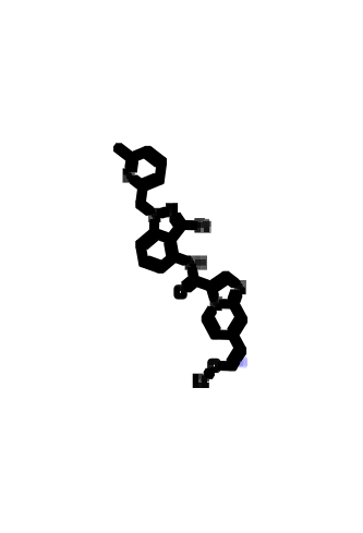 CCO/C=C\c1ccn2c(C(=O)Nc3cccc4c3c(CC)nn4Cc3cccc(C)n3)cnc2c1